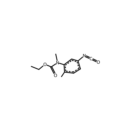 CCOC(=O)N(C)c1cc(N=C=O)ccc1C